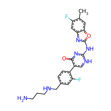 Cc1cc2oc(Nc3nc(=O)c(-c4ccc(CNCCCN)cc4F)c[nH]3)nc2cc1F